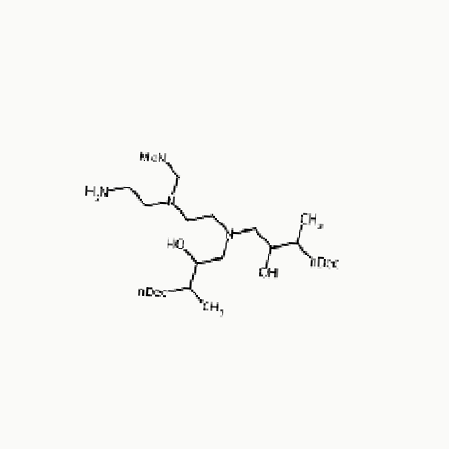 CCCCCCCCCCC(C)C(O)CN(CCN(CCN)CNC)CC(O)C(C)CCCCCCCCCC